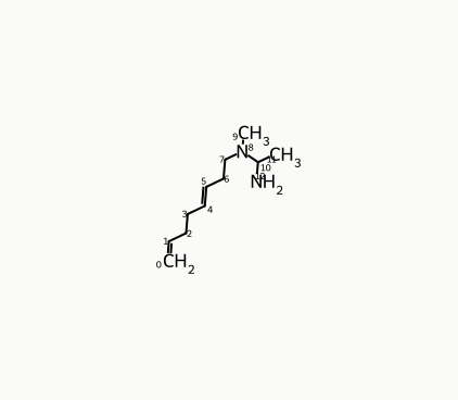 C=CCCC=CCCN(C)C(C)N